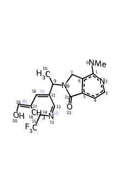 CNc1nccc2c1CN(C(C)C(/C=N\CC(F)(F)F)=C/C(C)=C/O)C2=O